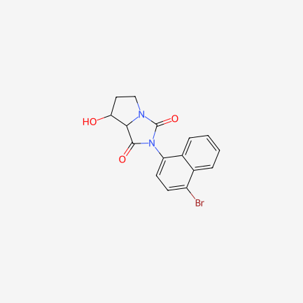 O=C1C2C(O)CCN2C(=O)N1c1ccc(Br)c2ccccc12